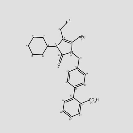 CCCCc1c(CF)n(C2CCCCC2)c(=O)n1Cc1ccc(-c2ccccc2C(=O)O)cc1